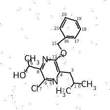 CC(C)Cc1nc(Cl)c(C(C)O)nc1OCc1ccccc1